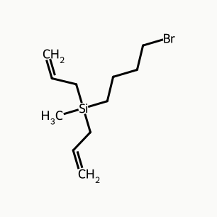 C=CC[Si](C)(CC=C)CCCCBr